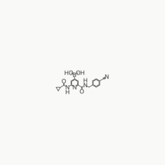 N#Cc1ccc(CNC(=O)c2cc(B(O)O)cc(NC(=O)C3CC3)n2)cc1